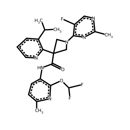 Cc1ccc(NC(=O)C2(c3ncccc3C(C)C)CN(c3nc(C)ncc3F)C2)c(OC(F)F)n1